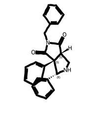 O=C1[C@@H]2CN[C@H](c3ccccc3)[C@]2(c2ccccc2)C(=O)N1Cc1ccccc1